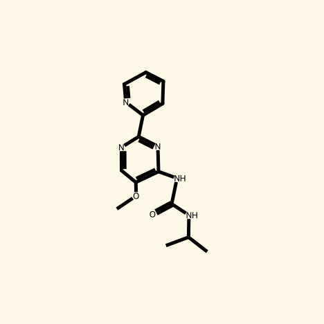 COc1cnc(-c2ccccn2)nc1NC(=O)NC(C)C